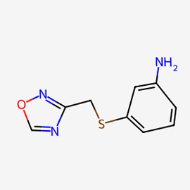 Nc1cccc(SCc2ncon2)c1